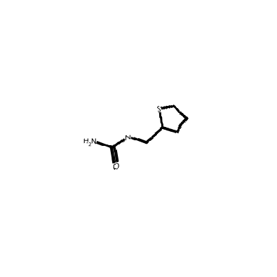 NC(=O)[N]CC1CCCS1